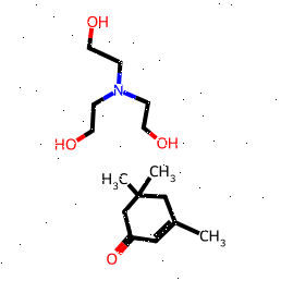 CC1=CC(=O)CC(C)(C)C1.OCCN(CCO)CCO